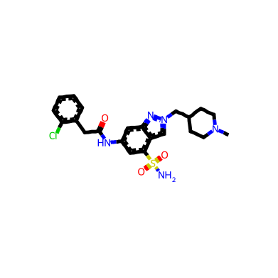 CN1CCC(Cn2cc3c(S(N)(=O)=O)cc(NC(=O)Cc4ccccc4Cl)cc3n2)CC1